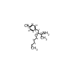 CCCCCOC(Cc1ccc(Cl)cc1)C(C)N